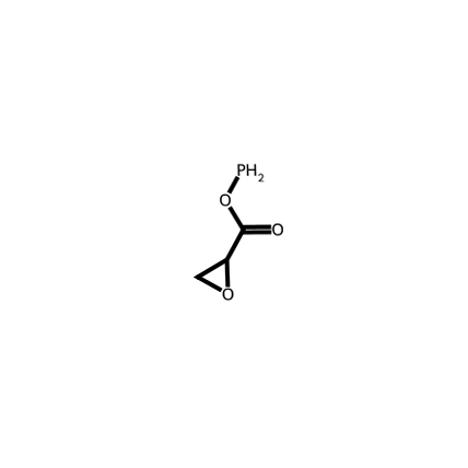 O=C(OP)C1CO1